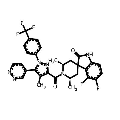 Cc1c(C(=O)N2[C@H](C)CC3(C[C@@H]2C)C(=O)Nc2ccc(F)c(F)c23)nn(-c2ccc(C(F)(F)F)cc2)c1-c1ccnnc1